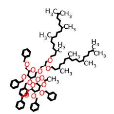 CC(=O)O[C@@H]1[C@@H](O[C@@H]2[C@@H](OC[C@@H](COCC[C@H](C)CCC[C@H](C)CCC[C@H](C)CCCC(C)C)OCC[C@H](C)CCC[C@H](C)CCC[C@H](C)CCCC(C)C)O[C@H](COCc3ccccc3)[C@@H](OCc3ccccc3)[C@@H]2OCc2ccccc2)O[C@H](COCc2ccccc2)[C@@H](OCc2ccccc2)[C@@H]1OCc1ccccc1